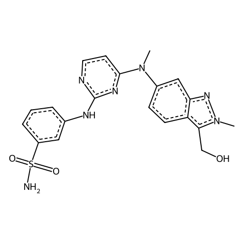 CN(c1ccc2c(CO)n(C)nc2c1)c1ccnc(Nc2cccc(S(N)(=O)=O)c2)n1